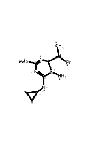 CSC1=NC(C(C)C(C)C)N(N)C(NC2CC2)=N1